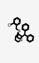 Clc1ccccc1CN=C1C2CCN(CC2)C1C(c1ccccc1)c1ccccc1